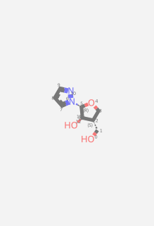 OC[C@H]1CO[C@@H](n2cccn2)[C@@H]1O